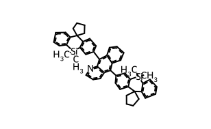 C[Si]1(C)c2ccccc2C2(CCCC2)c2ccc(-c3c4ccccc4c(-c4ccc5c(c4)[Si](C)(C)c4ccccc4C54CCCC4)c4ncccc34)cc21